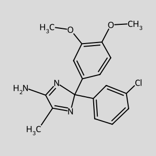 COc1ccc(C2(c3cccc(Cl)c3)N=C(C)C(N)=N2)cc1OC